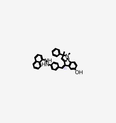 CN1n2c(/c(=C\c3ccc(NNc4cccc5ccccc45)cc3)c3cc(O)ccc32)=CC1(C)c1ccccc1